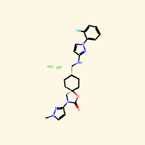 Cl.Cl.Cn1ccc(N2C[C@]3(CC[C@@H](CNc4ccn(-c5ccccc5F)n4)CC3)OC2=O)n1